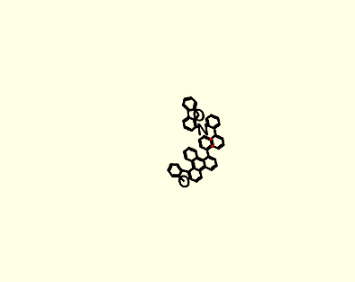 c1ccc(-c2ccccc2N(c2ccc(-c3cccc4c5ccc6oc7ccccc7c6c5c5ccccc5c34)cc2)c2cccc3c2oc2ccccc23)cc1